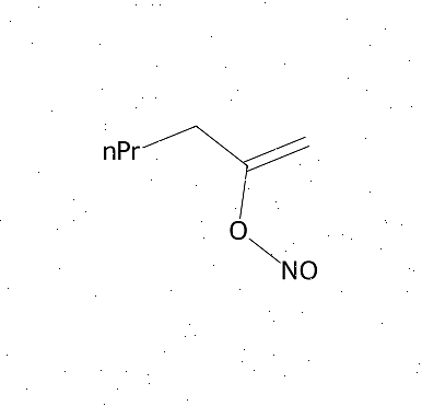 C=C(CCCC)ON=O